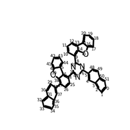 c1ccc2cc(-c3nc(-c4cccc5c4oc4ccccc45)nc(-c4ccc(-c5ccc6ccccc6c5)c5oc6ccccc6c45)n3)ccc2c1